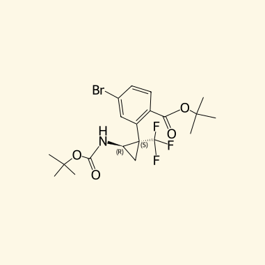 CC(C)(C)OC(=O)N[C@@H]1C[C@@]1(c1cc(Br)ccc1C(=O)OC(C)(C)C)C(F)(F)F